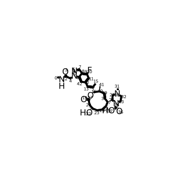 CNC(=O)Cn1ncc2c(F)cc(/C=C(\C)[C@H]3OC(=O)C[C@@H](O)CC[C@@H](C)[C@@H](C4CN(C)CCN4C(=O)O)/C=C/[C@@H]3C)cc21